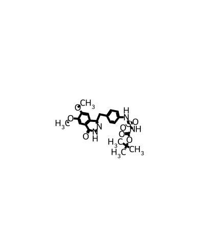 COc1cc2c(Cc3ccc(NS(=O)(=O)NC(=O)OC(C)(C)C)cc3)n[nH]c(=O)c2cc1OC